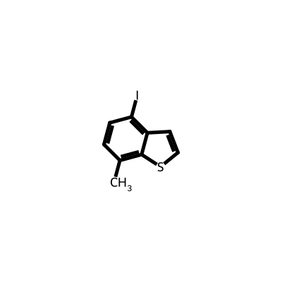 Cc1ccc(I)c2ccsc12